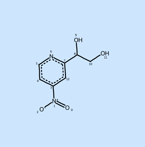 O=[N+]([O-])c1ccnc(C(O)CO)c1